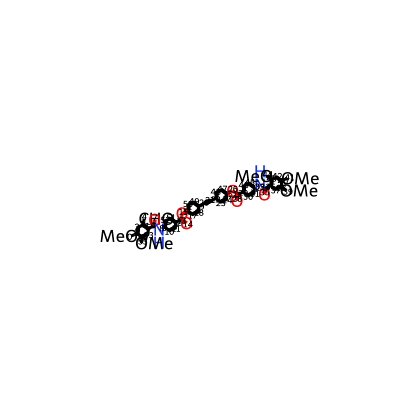 COc1cc(C=O)c(C(=O)Nc2ccc(C(=O)Oc3ccc(C#Cc4ccc(OC(=O)c5ccc(NC(=O)c6cc(OC)c(OC)cc6OC)cc5)cc4)cc3)cc2)cc1OC